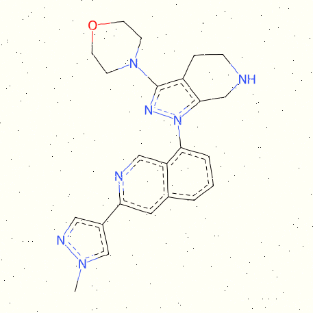 Cn1cc(-c2cc3cccc(-n4nc(N5CCOCC5)c5c4CNCC5)c3cn2)cn1